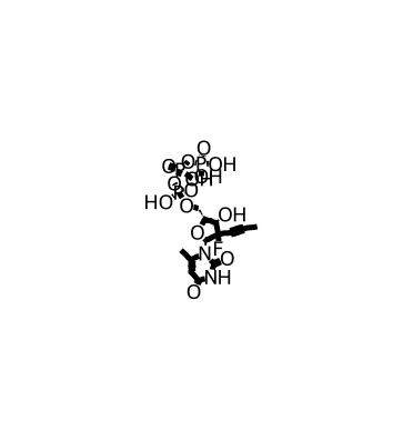 CC#CC1(F)[C@@H](O)[C@@H](COP(=O)(O)OP(=O)(O)OP(=O)(O)O)O[C@H]1n1c(C)cc(=O)[nH]c1=O